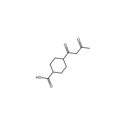 CC(=O)CC(=O)C1CCC(C(=O)O)CC1